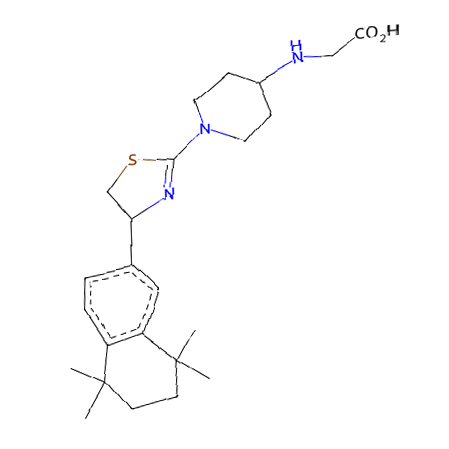 CC1(C)CCC(C)(C)c2cc(C3CSC(N4CCC(NCC(=O)O)CC4)=N3)ccc21